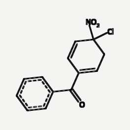 O=C(C1=CCC(Cl)([N+](=O)[O-])C=C1)c1ccccc1